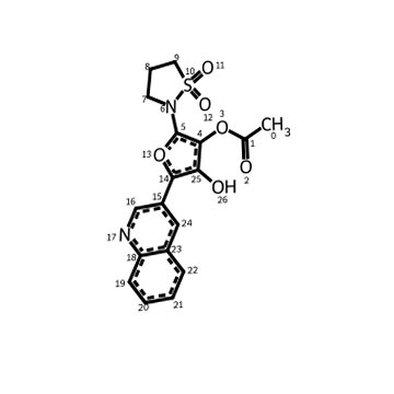 CC(=O)Oc1c(N2CCCS2(=O)=O)oc(-c2cnc3ccccc3c2)c1O